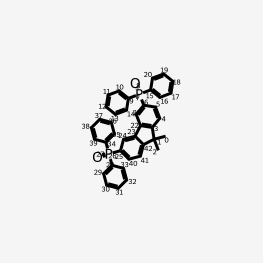 CC1(C)c2ccc(P(=O)(c3ccccc3)c3ccccc3)cc2-c2cc(P(=O)(c3ccccc3)c3ccccc3)ccc21